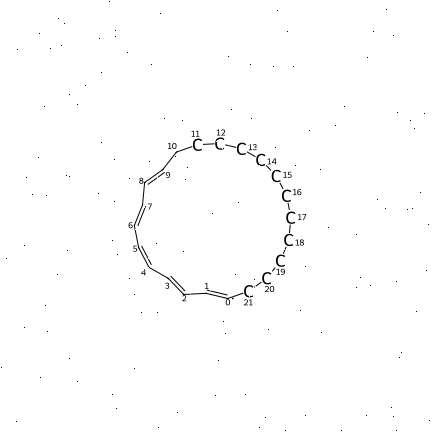 [C]1=C/C=C/C=C\C=C\C=C\CCCCCCCCCCCC/1